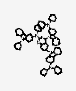 c1ccc(N(c2ccccc2)c2ccc3c(c2)c2ccccc2n3-c2ccc3nc(N(c4ccccc4)c4ccc5c(c4)c4ccccc4n5-c4ccccc4)nc(-n4c5ccccc5c5ccc(N(c6ccccc6)c6ccccc6)cc54)c3c2)cc1